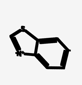 [c]1ccc2c(c1)SC=[N+]2